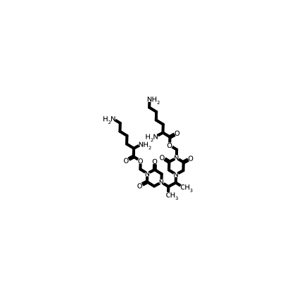 CC(C(C)N1CC(=O)N(COC(=O)C(N)CCCCN)C(=O)C1)N1CC(=O)N(COC(=O)C(N)CCCCN)C(=O)C1